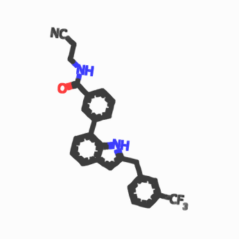 N#CCCNC(=O)c1cccc(-c2cccc3cc(Cc4cccc(C(F)(F)F)c4)[nH]c23)c1